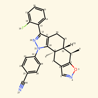 C[C@H]1c2oncc2C[C@@]2(C)c3c(c(-c4ccccc4F)nn3-c3ccc(C#N)cc3)CC[C@H]12